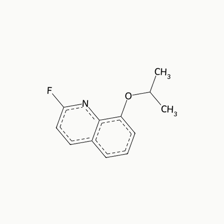 CC(C)Oc1cccc2ccc(F)nc12